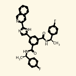 C[C@@H](NC(=O)c1cc(C(=O)N[C@H](C)c2ccc(F)cc2)cc(-c2cnc(-c3cc4ccccc4cn3)[nH]2)c1)c1ccc(F)cc1